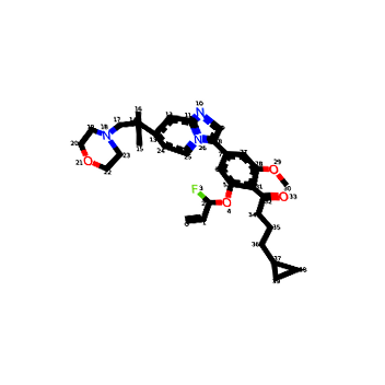 C=CC(F)Oc1cc(-c2cnc3cc(C(C)(C)CN4CCOCC4)ccn23)cc(OC)c1C(=O)CCCC1CC1